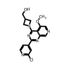 COc1cncc2nc(-c3ccnc(Cl)c3)nc(N3CC(CO)C3)c12